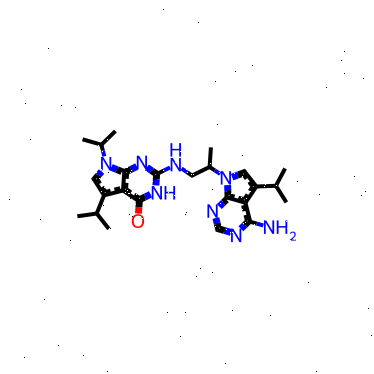 CC(C)c1cn(C(C)CNc2nc3c(c(C(C)C)cn3C(C)C)c(=O)[nH]2)c2ncnc(N)c12